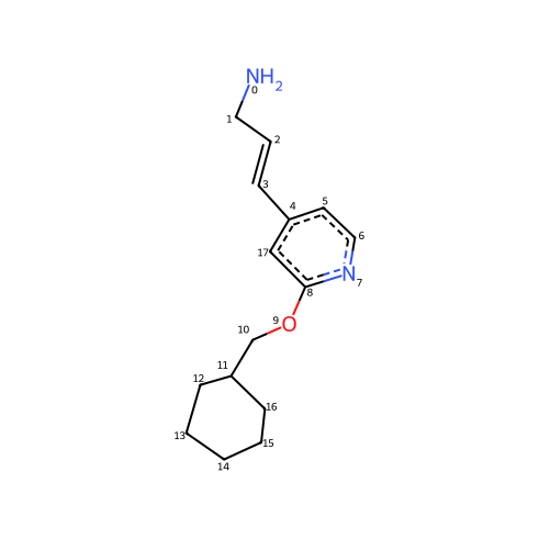 NCC=Cc1ccnc(OCC2CCCCC2)c1